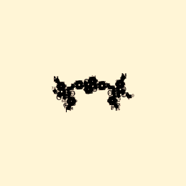 CCCOC(=O)C1=C(C)N(c2cccc(C(F)(F)F)c2)C(=O)N(CCCN2CCN(C(=O)c3ccccc3-c3ccccc3C(=O)N3CCN(CCCN4C(=O)N(c5cccc(C(F)(F)F)c5)C(C)=C(C(=O)OCC)C4c4ccc(C#N)cc4)CC3)CC2)C1c1ccc(C#N)cc1